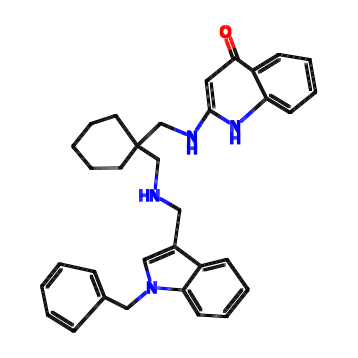 O=c1cc(NCC2(CNCc3cn(Cc4ccccc4)c4ccccc34)CCCCC2)[nH]c2ccccc12